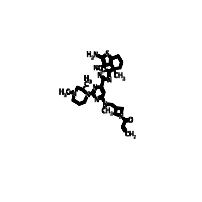 C=CC(=O)N1CC(CN(C)c2cc(-c3noc([C@@]4(C)CCCc5sc(N)c(C#N)c54)n3)nc(N3CCCN(C)C[C@@H]3C)n2)C1